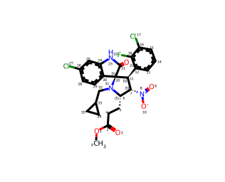 COC(=O)CC[C@H]1[C@@H]([N+](=O)[O-])[C@H](c2cccc(Cl)c2F)[C@]2(C(=O)Nc3cc(Cl)ccc32)N1CC1CC1